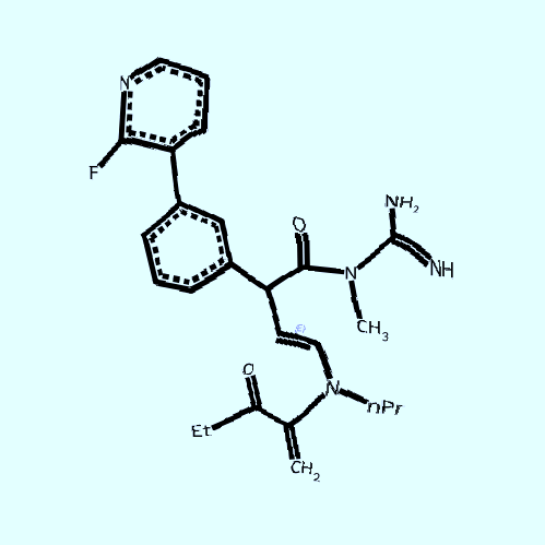 C=C(C(=O)CC)N(/C=C/C(C(=O)N(C)C(=N)N)c1cccc(-c2cccnc2F)c1)CCC